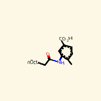 CCCCCCCCCC(=O)Nc1cc(C(=O)O)ccc1C